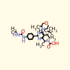 CCNC(=O)Nc1ccc(-c2nc3c(c(N4CCOC[C@@H]4C)n2)[C@H](C(C)(C)C)CN(C(=O)O)C3C)cc1